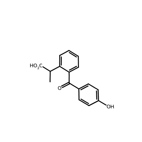 CC(C(=O)O)c1ccccc1C(=O)c1ccc(O)cc1